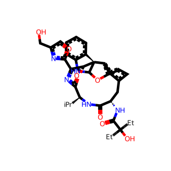 CCC(O)(CC)C(=O)N[C@H]1Cc2ccc3c(c2)[C@@]2(c4ccccc4NC2O3)c2oc(nc2-c2nc(CO)co2)[C@H](C(C)C)NC1=O